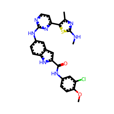 CNc1nc(C)c(-c2ccnc(Nc3ccc4[nH]c(C(=O)Nc5ccc(OC)c(Cl)c5)cc4c3)n2)s1